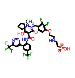 CN1N(Cc2ccc(OCCNCCS(=O)(=O)O)c(F)c2F)C(=O)C(C(=O)Nc2ccc(C(F)(F)F)cc2-c2cc(C(F)(F)F)ncn2)=C(O)C12CCCC2